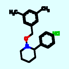 Cc1cc(C)cc(CON2CCCCC2c2ccccc2)c1.Cl